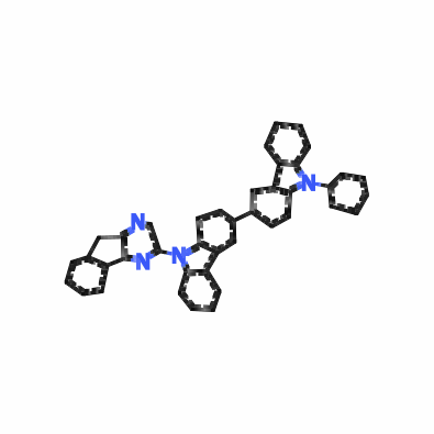 c1ccc(-n2c3ccccc3c3cc(-c4ccc5c(c4)c4ccccc4n5-c4cnc5c(n4)-c4ccccc4C5)ccc32)cc1